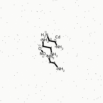 NCCN.NCCN.NCCN.O=[N+]([O-])[O-].[Cd]